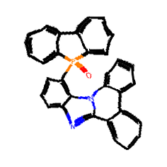 O=P1(c2cccc3nc4c5ccccc5c5ccccc5n4c23)c2ccccc2-c2ccccc21